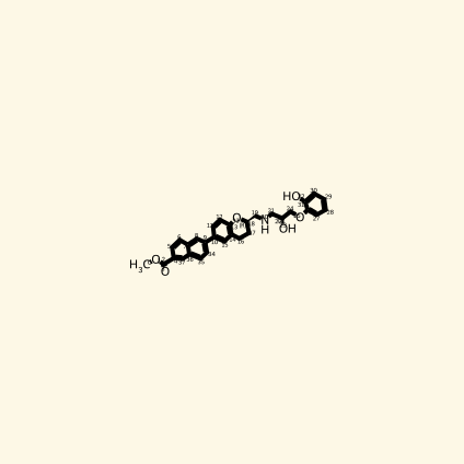 COC(=O)c1ccc2cc(-c3ccc4c(c3)CC[C@H](CNC[C@H](O)COc3ccccc3O)O4)ccc2c1